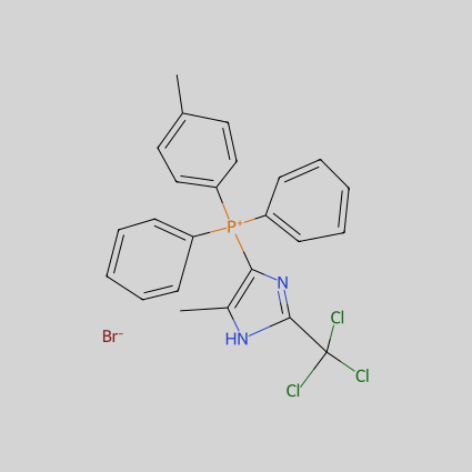 Cc1ccc([P+](c2ccccc2)(c2ccccc2)c2nc(C(Cl)(Cl)Cl)[nH]c2C)cc1.[Br-]